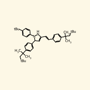 CC(C)(C)CC(C)(C)c1ccc(C=CC2=CC(c3ccc(C(C)(C)CC(C)(C)C)cc3)N(c3ccc(C(C)(C)C)cc3)N2)cc1